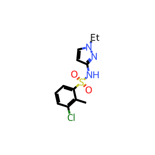 CCn1ccc(NS(=O)(=O)c2cccc(Cl)c2C)n1